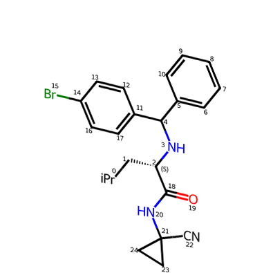 CC(C)C[C@H](NC(c1ccccc1)c1ccc(Br)cc1)C(=O)NC1(C#N)CC1